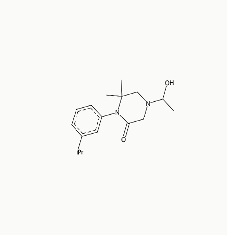 CC(C)c1cccc(N2C(=O)CN(C(C)O)CC2(C)C)c1